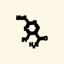 CSc1ncc(C(N)=O)c(C(C)C)n1